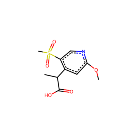 COc1cc(C(C)C(=O)O)c(S(C)(=O)=O)cn1